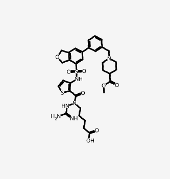 COC(=O)C1CCN(Cc2cccc(-c3cc4c(c(S(=O)(=O)Nc5ccsc5C(=O)N(CCCCC(=O)O)NC(=N)N)c3)COC4)c2)CC1